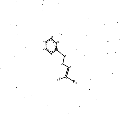 FC(F)=CCCc1ccccn1